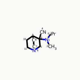 CC(C)N(C)C1(C#N)CN2CCC1CC2